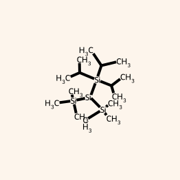 CC(C)[Si](C(C)C)(C(C)C)[Si]([Si](C)(C)C)[Si](C)(C)C